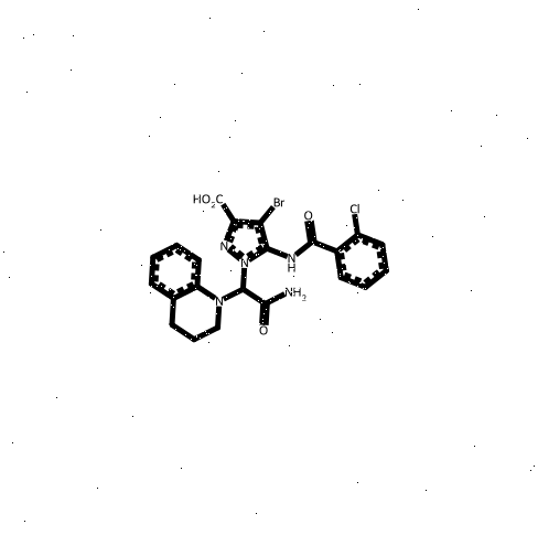 NC(=O)C(N1CCCc2ccccc21)n1nc(C(=O)O)c(Br)c1NC(=O)c1ccccc1Cl